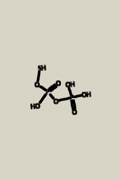 O=P(O)(O)OP(=O)(O)OS